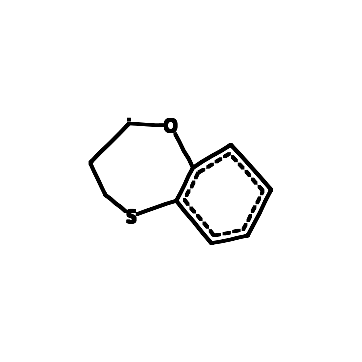 [CH]1CCSc2ccccc2O1